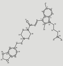 Cc1ccc2c(c1)c(/C=C/C(=O)N1CCN(CCc3ccc4c(c3)OCO4)CC1)c(C)n2CCCN(C)C